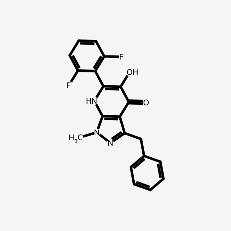 Cn1nc(Cc2ccccc2)c2c(=O)c(O)c(-c3c(F)cccc3F)[nH]c21